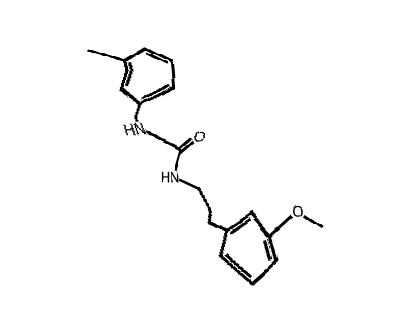 COc1cccc(CCNC(=O)Nc2cccc(C)c2)c1